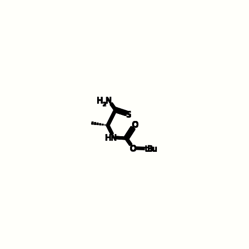 C[C@@H](NC(=O)OC(C)(C)C)C(N)=S